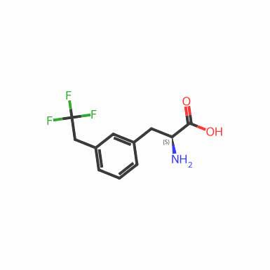 N[C@@H](Cc1cccc(CC(F)(F)F)c1)C(=O)O